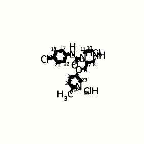 Cc1ccc(OCC2CNCCN2C(=O)Nc2ccc(Cl)cc2)cn1.Cl.Cl